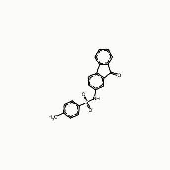 Cc1ccc(S(=O)(=O)Nc2ccc3c(c2)C(=O)c2ccccc2-3)cc1